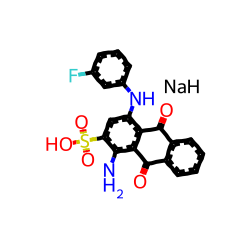 Nc1c(S(=O)(=O)O)cc(Nc2cccc(F)c2)c2c1C(=O)c1ccccc1C2=O.[NaH]